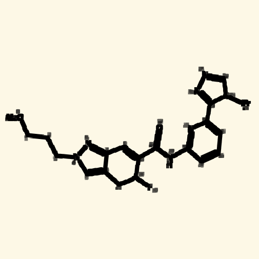 COCCCn1cc2c(n1)C=C(C(=O)Nc1cccc(-c3nncn3C(C)C)n1)C(F)C2